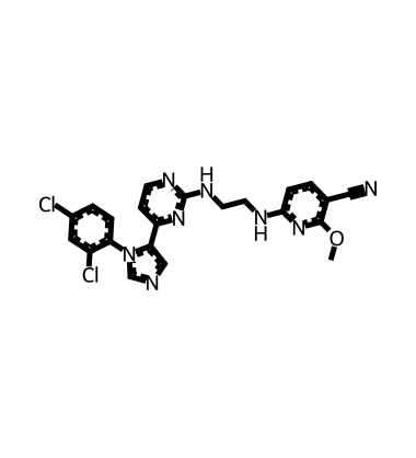 COc1nc(NCCNc2nccc(-c3cncn3-c3ccc(Cl)cc3Cl)n2)ccc1C#N